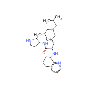 CC(C)CN(CCCC(NC1CCCc2cccnc21)C(=O)NC1CCNC1)CC(C)C